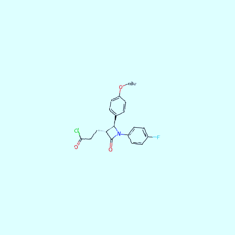 CCCCOc1ccc([C@@H]2[C@@H](CCC(=O)Cl)C(=O)N2c2ccc(F)cc2)cc1